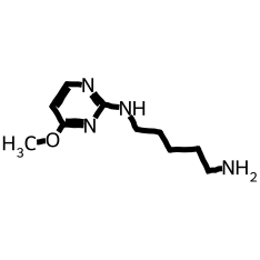 COc1ccnc(NCCCCCN)n1